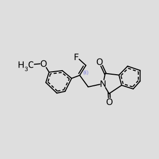 COc1cccc(/C(=C\F)CN2C(=O)c3ccccc3C2=O)c1